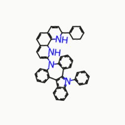 C1=CCCC(C2C=CC3=C(N2)C2NC(N4c5ccccc5-c5c(n(-c6ccccc6)c6ccccc56)-c5ccccc54)=CC=C2C=C3)=C1